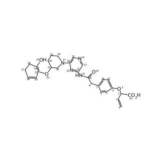 C=CC(Oc1ccc(CC(=O)Nc2cncc(N3CCCC(OC4=C(O)CCC=C4)C3)n2)cc1)C(=O)O